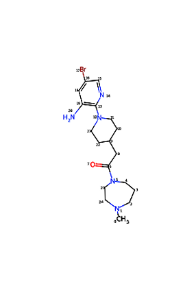 CN1CCCN(C(=O)CC2CCN(c3ncc(Br)cc3N)CC2)CC1